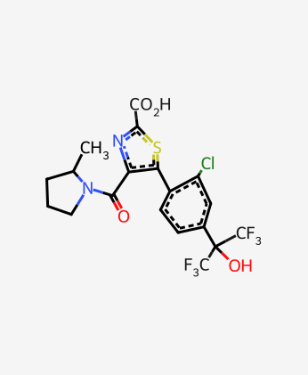 CC1CCCN1C(=O)c1nc(C(=O)O)sc1-c1ccc(C(O)(C(F)(F)F)C(F)(F)F)cc1Cl